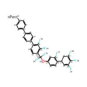 CCCCCc1ccc(-c2ccc(-c3ccc(C(F)(F)Oc4ccc(C5C=C(F)C(F)=C(F)C5)c(F)c4)c(F)c3F)cc2)cc1